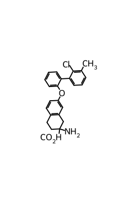 Cc1cccc(-c2ccccc2Oc2ccc3c(c2)CC(N)(C(=O)O)CC3)c1Cl